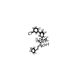 CC(NC(=N)N(CO)CCc1cccnc1)(c1cccc(-c2cccc(Cl)c2)c1)C1CC1